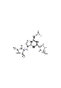 O=C1NC(=O)/C(=C/c2cnn3c(NC4CC4)nc(N4CC[C@@H](O)C4)nc23)N1